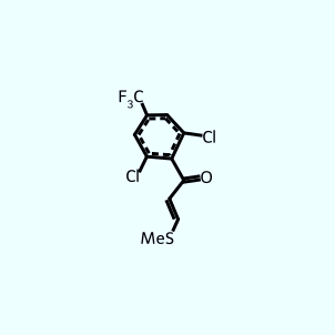 CSC=CC(=O)c1c(Cl)cc(C(F)(F)F)cc1Cl